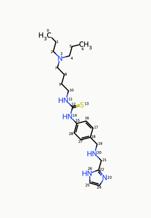 CCCN(CCC)CCCCNC(=S)Nc1ccc(CNCc2ncc[nH]2)cc1